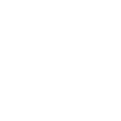 N#CC[C@@H](O)CC(=O)O.[CaH2]